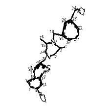 CC1CN(c2nc3ccc(Cl)cc3s2)CC(C)N1Cc1cccc(CCl)c1